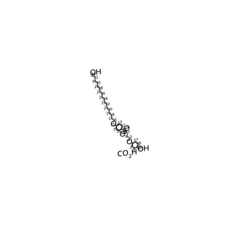 O=C(O)c1cc(OCCCS(=O)(=O)c2ccc(OCCCCCCCCCCCCCCCCCCO)cc2)ccc1O